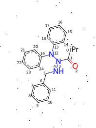 CC(C)C(=O)N(NCc1ccccc1)N(c1ccccc1)c1ccccc1